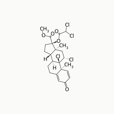 COC(=O)[C@@]1(OC(=O)C(Cl)Cl)CC[C@H]2[C@@H]3CCC4=CC(=O)C=C[C@]4(C)[C@@]3(Cl)[C@@H](Cl)C[C@@]21C